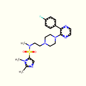 Cc1ncc(S(=O)(=O)N(C)CCN2CCN(c3nccnc3-c3ccc(F)cc3)CC2)n1C